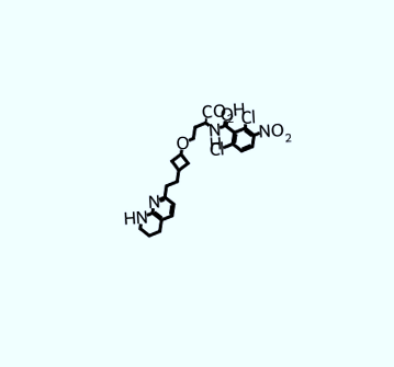 O=C(N[C@@H](CCOC1CC(CCc2ccc3c(n2)NCCC3)C1)C(=O)O)c1c(Cl)ccc([N+](=O)[O-])c1Cl